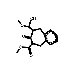 COC(=O)C1Cc2ccccc2CC(C(O)OC)C1=O